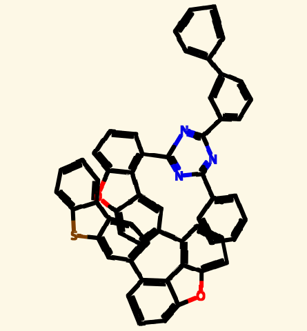 c1ccc(-c2cccc(-c3nc(-c4ccccc4)nc(-c4cccc5oc6ccc(-c7cccc8oc9cccc(-c%10ccc%11c(c%10)sc%10ccccc%10%11)c9c78)cc6c45)n3)c2)cc1